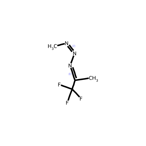 C/N=N\N=C(/C)C(F)(F)F